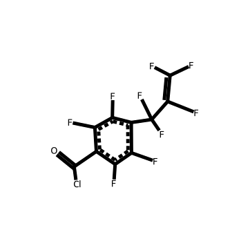 O=C(Cl)c1c(F)c(F)c(C(F)(F)C(F)=C(F)F)c(F)c1F